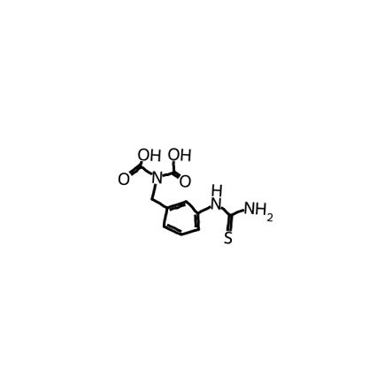 NC(=S)Nc1cccc(CN(C(=O)O)C(=O)O)c1